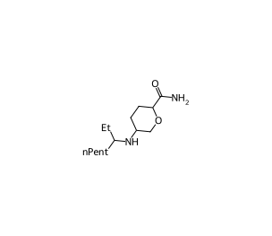 CCCCCC(CC)NC1CCC(C(N)=O)OC1